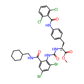 COC(=O)[C@H](Cc1ccc(NC(=O)c2c(Cl)cccc2Cl)cc1)NC(=O)Nc1c(Br)cc(Br)cc1C(=O)NCC1CCCCC1